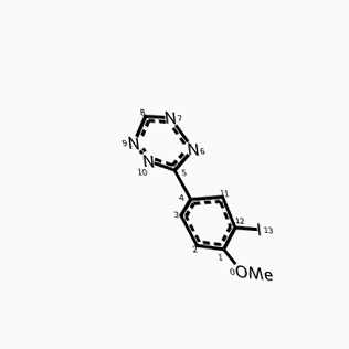 COc1ccc(-c2nncnn2)cc1I